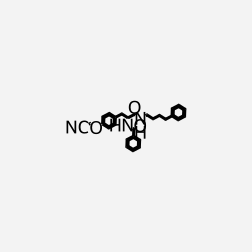 N#CCOc1ccc(CC(NC(=O)c2ccccc2)C(=O)NCCCCc2ccccc2)cc1